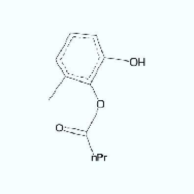 CCCC(=O)Oc1c(C)cccc1O